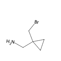 NCC1(CBr)CC1